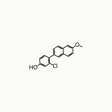 COc1ccc2cc(-c3ccc(O)cc3Cl)ccc2c1